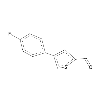 O=Cc1cc(-c2ccc(F)cc2)cs1